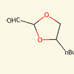 CCCCC1COC([C]=O)O1